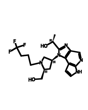 C[C@@H](O)c1nc2cnc3[nH]ccc3c2n1[C@H]1C[C@@H](CO)N(CCCC(F)(F)F)C1